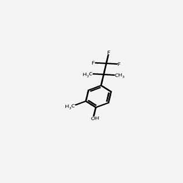 Cc1cc(C(C)(C)C(F)(F)F)ccc1O